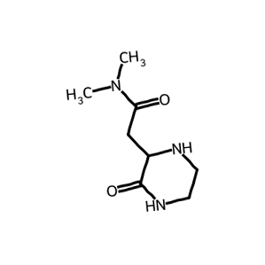 CN(C)C(=O)CC1NCCNC1=O